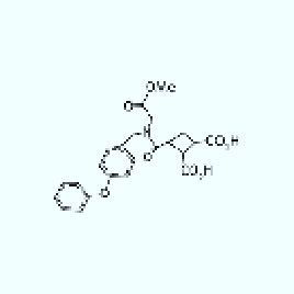 COC(=O)CN(Cc1ccc(Oc2ccccc2)cc1)C(=O)C1CC(C(=O)O)C1C(=O)O